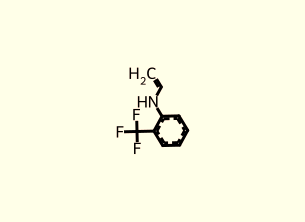 C=CNc1ccccc1C(F)(F)F